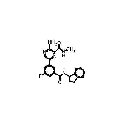 CNC(=O)c1nc(-c2cc(F)cc(C(=O)NC3CCc4ccccc43)c2)cnc1N